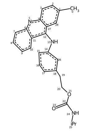 Cc1ccc2nc3ccccc3c(Nc3cccc(CCOC(=O)NC(C)C)c3)c2c1